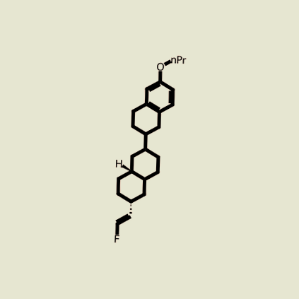 CCCOc1ccc2c(c1)CCC(C1CCC3C[C@H](C=CF)CC[C@@H]3C1)C2